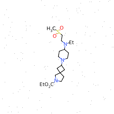 CCOC(=O)N1CCC2(CC(N3CCC(N(CC)CCS(C)(=O)=O)CC3)C2)C1